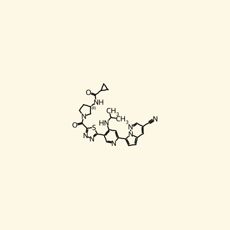 CC(C)Nc1cc(-c2ccc3cc(C#N)cnn23)ncc1-c1nnc(C(=O)N2CC[C@@H](NC(=O)C3CC3)C2)s1